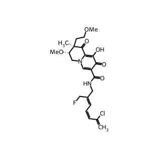 C=C(Cl)/C=C\C=C(/CF)CNC(=O)c1cn2c(c(O)c1=O)C(=O)[C@](C)(CCOC)[C@@H](OC)C2